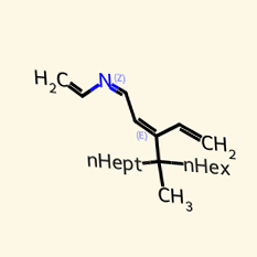 C=C/N=C\C=C(/C=C)C(C)(CCCCCC)CCCCCCC